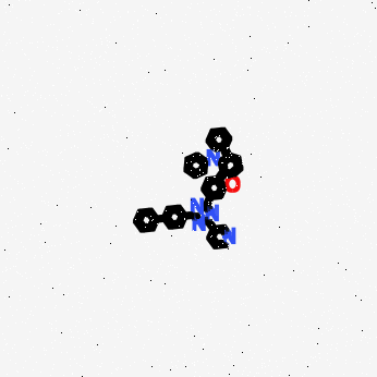 c1ccc(-c2ccc(-c3nc(-c4cccnc4)nc(-c4ccc5c(c4)oc4ccc6c7ccccc7n(-c7ccccc7)c6c45)n3)cc2)cc1